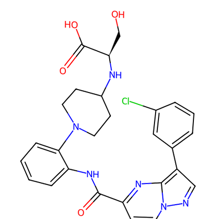 O=C(Nc1ccccc1N1CCC(N[C@H](CO)C(=O)O)CC1)c1ccn2ncc(-c3cccc(Cl)c3)c2n1